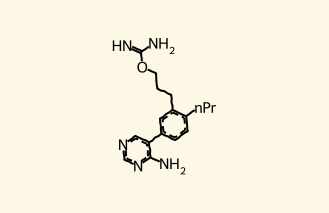 CCCc1ccc(-c2cncnc2N)cc1CCCOC(=N)N